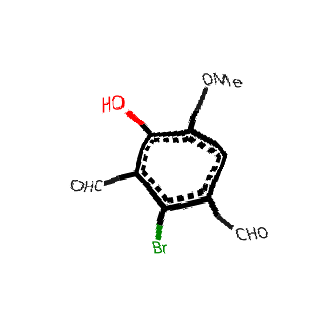 COc1cc(C=O)c(Br)c(C=O)c1O